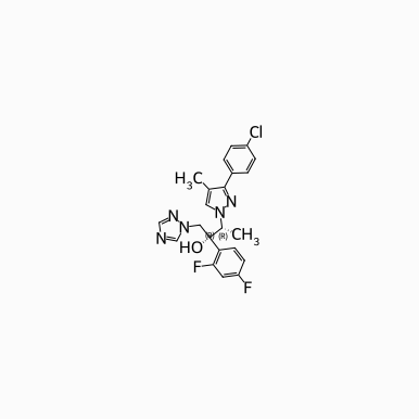 Cc1cn([C@H](C)[C@](O)(Cn2cncn2)c2ccc(F)cc2F)nc1-c1ccc(Cl)cc1